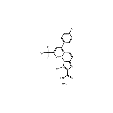 NNC(=O)c1nc2ccc3c(-c4ccc(Cl)cc4)cc(C(F)(F)C(F)(F)F)nc3n2c1Br